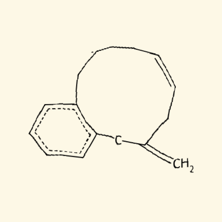 C=C1C/C=C\C[CH]Cc2ccccc2C1